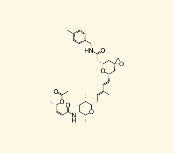 CC(=O)O[C@@H](C)/C=C\C(=O)N[C@@H]1C[C@H](C)[C@H](C/C=C(C)/C=C/[C@@H]2C[C@]3(CO3)C[C@@H](CC(=O)NCc3ccc(C)cc3)O2)O[C@@H]1C